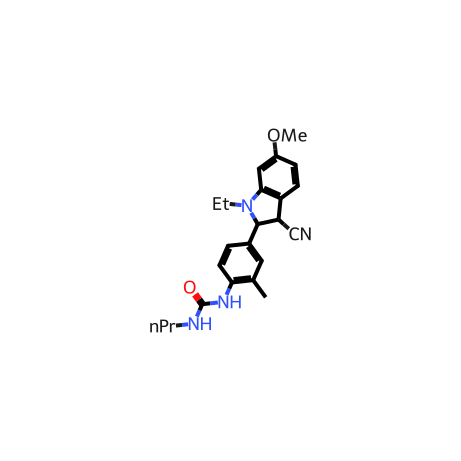 CCCNC(=O)Nc1ccc(C2C(C#N)c3ccc(OC)cc3N2CC)cc1C